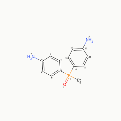 CCP(=O)(c1ccc(N)cc1)c1ccc(N)cc1